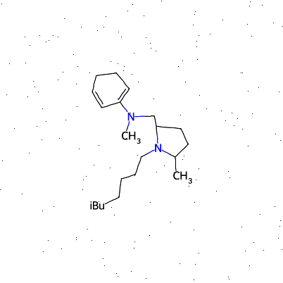 CCC(C)CCCCN1C(C)CCC1CN(C)C1=CCCC=C1